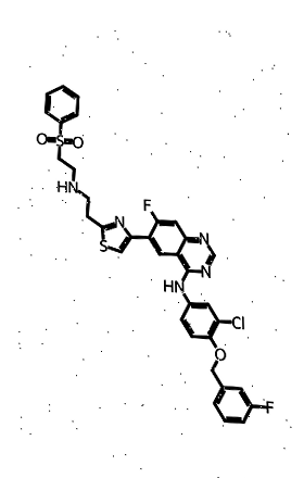 O=S(=O)(CCNCCc1nc(-c2cc3c(Nc4ccc(OCc5cccc(F)c5)c(Cl)c4)ncnc3cc2F)cs1)c1ccccc1